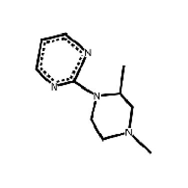 CC1CN(C)CCN1c1ncccn1